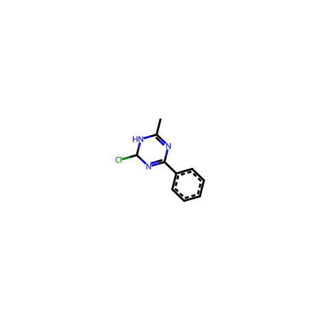 CC1=NC(c2ccccc2)=NC(Cl)N1